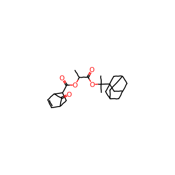 CC(OC(=O)C1CC2C=CC1C2=O)C(=O)OC(C)(C)C12CC3CC(CC(C3)C1)C2